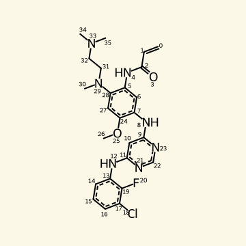 C=CC(=O)Nc1cc(Nc2cc(Nc3cccc(Cl)c3F)ncn2)c(OC)cc1N(C)CCN(C)C